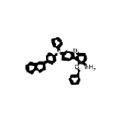 Nc1ccc2oc3cc(N(c4ccccc4)c4ccc(-c5ccc6ccccc6c5)cc4)ccc3c2c1OCc1ccccc1